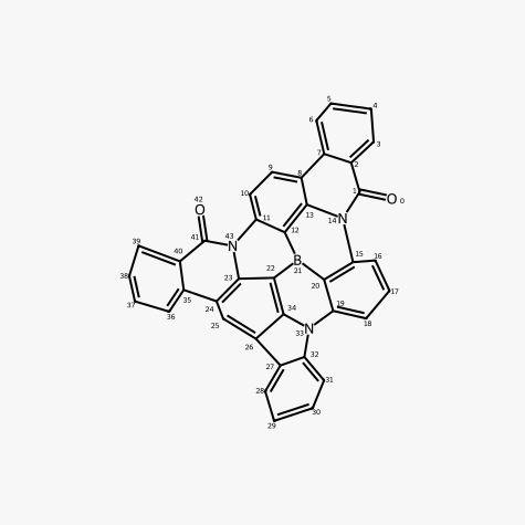 O=c1c2ccccc2c2ccc3c4c2n1-c1cccc2c1B4c1c4c(cc5c6ccccc6n-2c15)c1ccccc1c(=O)n4-3